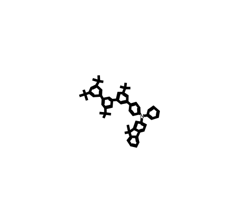 CC(C)(C)c1cc(-c2ccc(N(c3ccccc3)c3ccc4c(c3)C(C)(C)c3ccccc3-4)cc2)cc(-c2cc(-c3cc(C(C)(C)C)cc(C(C)(C)C)c3)cc(C(C)(C)C)c2)c1